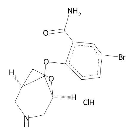 Cl.NC(=O)c1cc(Br)ccc1OC1[C@H]2CNC[C@@H]1OC2